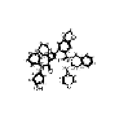 O=C(c1cc(-c2cc3c(cc2C(=O)N2Cc4ccccc4C[C@@H]2CN2CCOCC2)OCO3)n2c1CCCC2)N(c1ccccc1)c1ccc(O)cc1